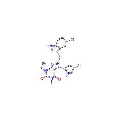 CC(=O)c1cc(-c2c3c(=O)n(C)c(=O)n(CC(C)C)c3nn2Cc2c[nH]c3ccc(Cl)cc23)n(C)c1